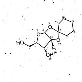 OC[C@H]1OC2OC3(CCCCC3)O[C@@H]2[C@H]1O